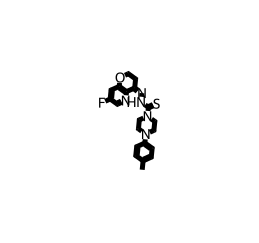 Cc1ccc(N2CCN(C(=S)N/N=C3/CCOc4cc(F)cnc43)CC2)cc1